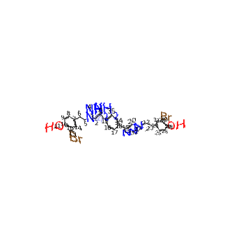 N/C(=C\N(N)CCc1ccc(O)c(Br)c1)c1ccc(-c2cn(CCc3ccc(O)c(Br)c3)nn2)cc1